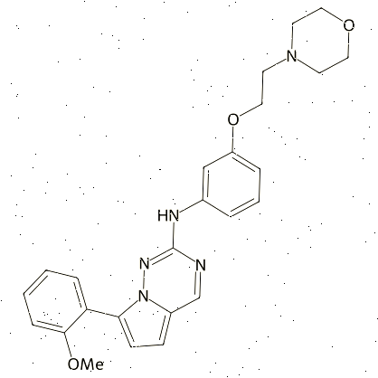 COc1ccccc1-c1ccc2cnc(Nc3cccc(OCCN4CCOCC4)c3)nn12